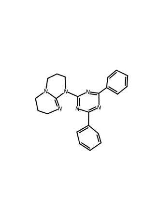 c1ccc(-c2nc(-c3ccccc3)nc(N3CCCN4CCCN=C43)n2)cc1